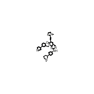 CN1CCCC(c2ccc(Nc3ncc4cc(C#Cc5nccn5C)c(=O)n(Cc5cccc(-c6ccncc6)c5)c4n3)cc2)C1